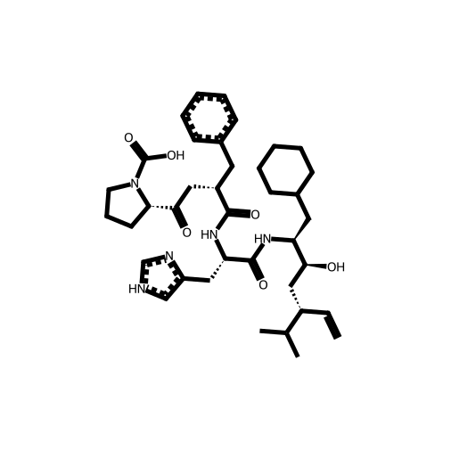 C=C[C@@H](C[C@H](O)[C@H](CC1CCCCC1)NC(=O)[C@H](Cc1c[nH]cn1)NC(=O)[C@H](CC(=O)[C@@H]1CCCN1C(=O)O)Cc1ccccc1)C(C)C